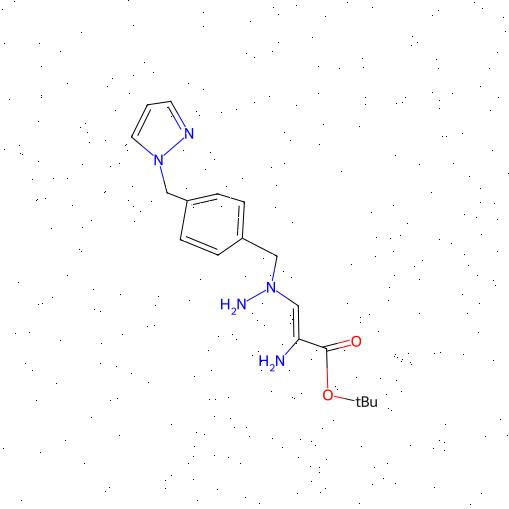 CC(C)(C)OC(=O)/C(N)=C/N(N)Cc1ccc(Cn2cccn2)cc1